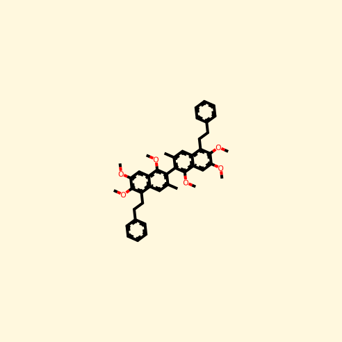 COc1cc2c(OC)c(-c3c(C)cc4c(CCc5ccccc5)c(OC)c(OC)cc4c3OC)c(C)cc2c(CCc2ccccc2)c1OC